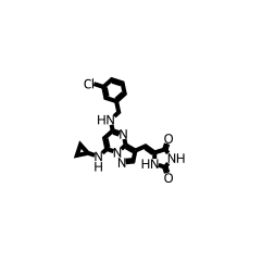 O=C1NC(=O)/C(=C/c2cnn3c(NC4CC4)cc(NCc4cccc(Cl)c4)nc23)N1